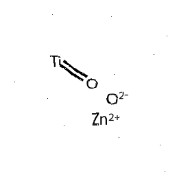 [O-2].[O]=[Ti].[Zn+2]